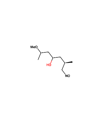 COC(C)CC(O)C[C@@H](C)CN=O